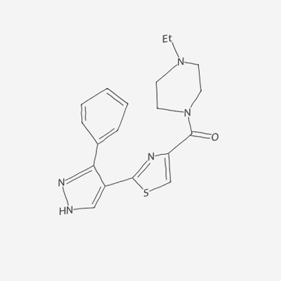 CCN1CCN(C(=O)c2csc(-c3c[nH]nc3-c3ccccc3)n2)CC1